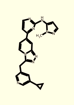 Cn1nccc1Nc1nccc(-c2ccn3c(Cc4cncc(C5CC5)c4)nnc3c2)n1